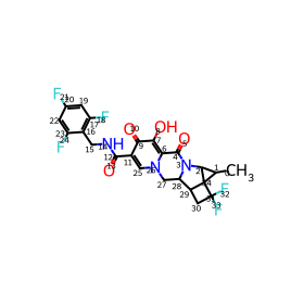 CC1C2N3C(=O)c4c(O)c(=O)c(C(=O)NCc5c(F)cc(F)cc5F)cn4CC3C3CC(F)(F)C132